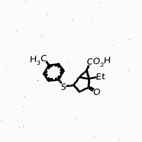 CCC12C(=O)CC(Sc3ccc(C)cc3)C1C2C(=O)O